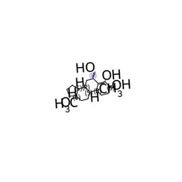 C[C@]12CC[C@H](O)C(O)=C1/C(=C/O)C[C@@H]1[C@@H]2CC[C@]2(C)C(=O)CC[C@@H]12